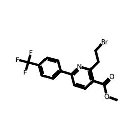 COC(=O)c1ccc(-c2ccc(C(F)(F)F)cc2)nc1CCBr